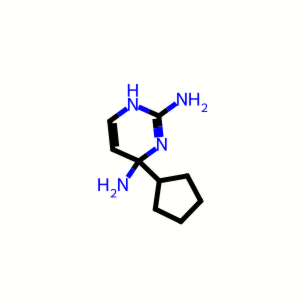 NC1=NC(N)(C2CCCC2)C=CN1